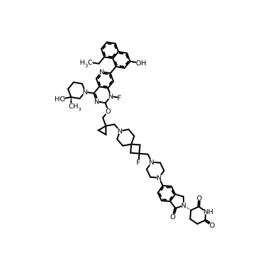 CCc1cccc2cc(O)cc(-c3cc4c(cn3)C(N3CCC[C@@](C)(O)C3)=NC(OCC3(CN5CCC6(CC5)CC(F)(CN5CCN(c7ccc8c(c7)CN([C@H]7CCC(=O)NC7=O)C8=O)CC5)C6)CC3)N4F)c12